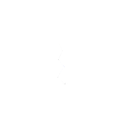 CCCCNCC[S]